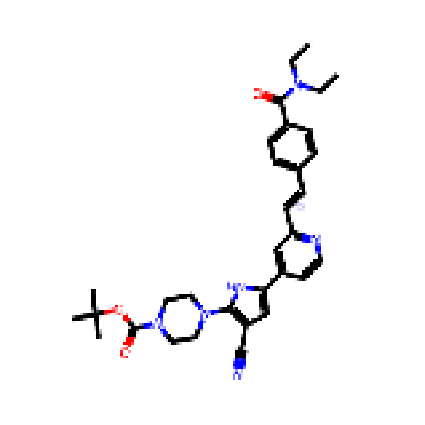 CCN(CC)C(=O)c1ccc(/C=C/c2cc(-c3cc(C#N)c(N4CCN(C(=O)OC(C)(C)C)CC4)[nH]3)ccn2)cc1